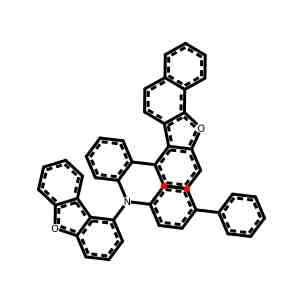 c1ccc(-c2ccc(N(c3ccccc3-c3cccc4oc5c6ccccc6ccc5c34)c3cccc4oc5ccccc5c34)cc2)cc1